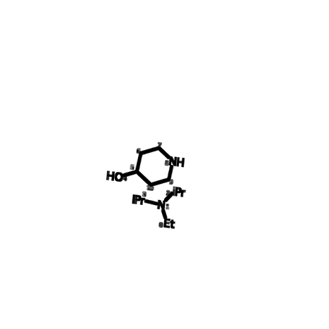 CCN(C(C)C)C(C)C.OC1CCNCC1